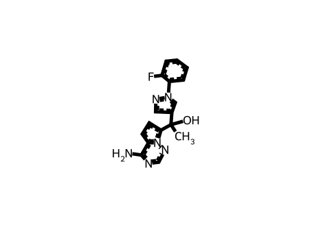 CC(O)(c1cnn(-c2ccccc2F)c1)c1ccc2c(N)ncnn12